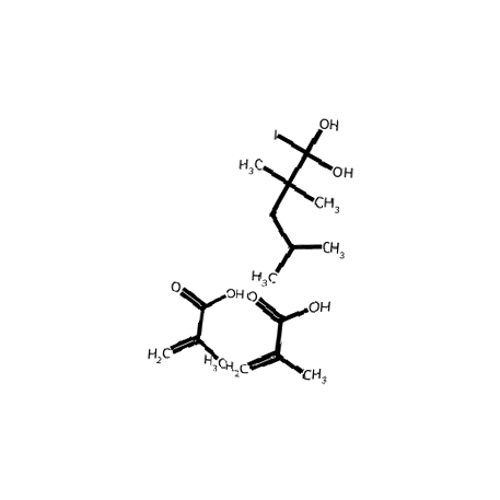 C=C(C)C(=O)O.C=C(C)C(=O)O.CC(C)CC(C)(C)C(O)(O)I